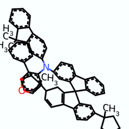 CC1(c2ccc3c(c2)C2(C4=C3C=CC(C3(C)CCOC3)C4)c3ccccc3-c3ccc(N(c4ccc5c(c4)C(C)(C)c4ccccc4-5)c4ccccc4-c4ccccc4)cc32)CCOC1